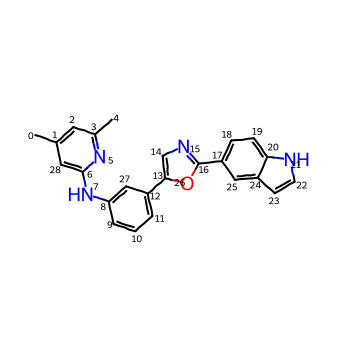 Cc1cc(C)nc(Nc2cccc(-c3cnc(-c4ccc5[nH]ccc5c4)o3)c2)c1